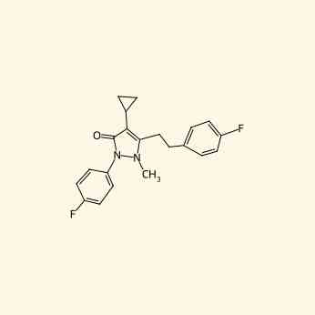 Cn1c(CCc2ccc(F)cc2)c(C2CC2)c(=O)n1-c1ccc(F)cc1